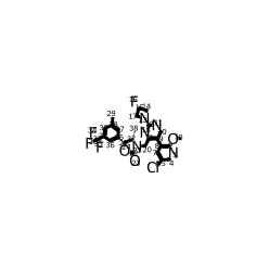 COc1ncc(Cl)cc1-c1cnc(N2CC(F)C2)nc1CN1C(=O)O[C@H](c2cc(C)cc(C(F)(F)F)c2)[C@@H]1C